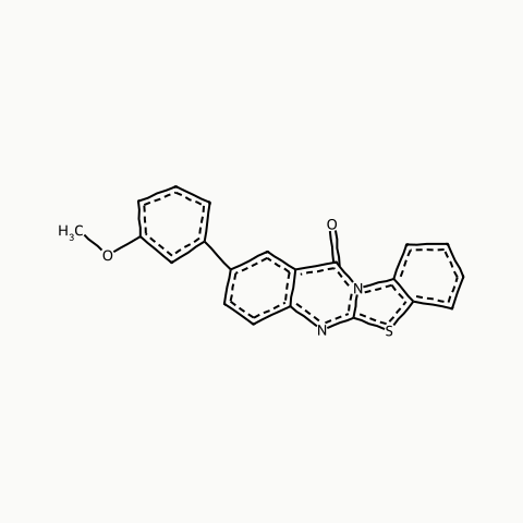 COc1cccc(-c2ccc3nc4sc5ccccc5n4c(=O)c3c2)c1